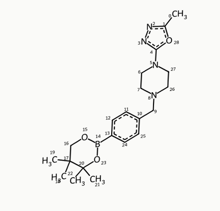 Cc1nnc(N2CCN(Cc3ccc(B4OCC(C)(C)C(C)(C)O4)cc3)CC2)o1